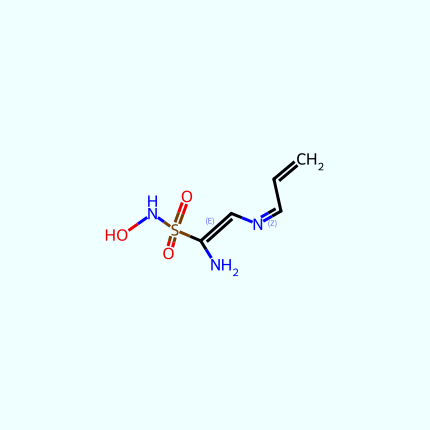 C=C/C=N\C=C(/N)S(=O)(=O)NO